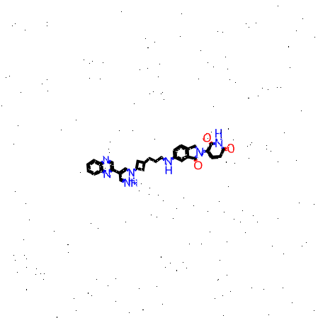 N=C/C(=C\NC1CC(CCCNc2ccc3c(c2)C(=O)N(C2CCC(=O)NC2=O)C3)C1)c1cnc2ccccc2n1